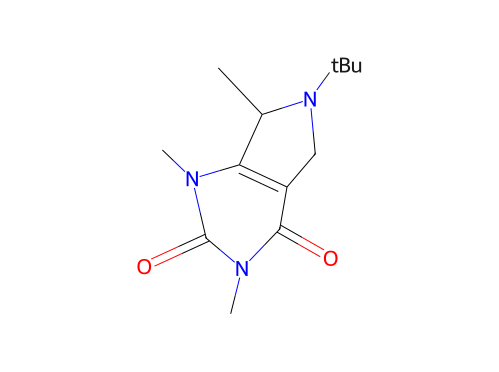 CC1c2c(c(=O)n(C)c(=O)n2C)CN1C(C)(C)C